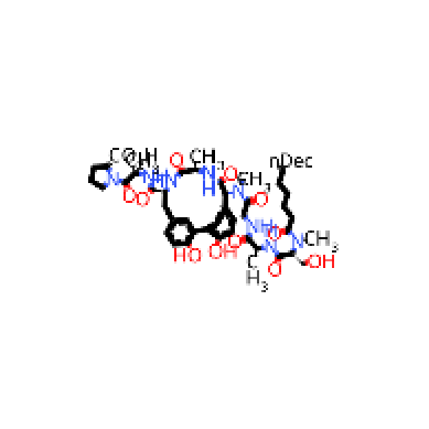 CCCCCCCCCCCCCCCC(=O)N(C)[C@H](CO)C(=O)N[C@H](C)C(=O)NCC(=O)N(C)[C@@H]1C(=O)N[C@@H](C)C(=O)N[C@H](C(=O)N[C@@H](C)C(=O)N2CCCC2C(=O)O)Cc2ccc(O)c(c2)-c2cc1ccc2O